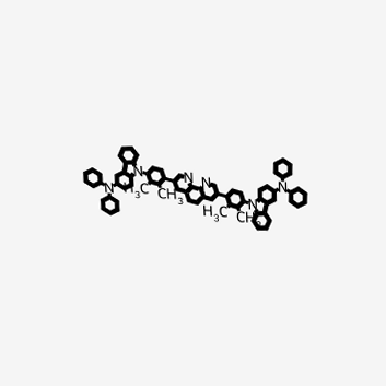 Cc1c(-c2cnc3c(ccc4cc(-c5ccc(-n6c7ccccc7c7cc(N(c8ccccc8)c8ccccc8)ccc76)c(C)c5C)cnc43)c2)ccc(-n2c3ccccc3c3cc(N(c4ccccc4)c4ccccc4)ccc32)c1C